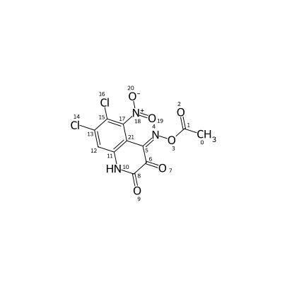 CC(=O)ON=C1C(=O)C(=O)Nc2cc(Cl)c(Cl)c([N+](=O)[O-])c21